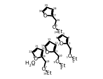 CCOCc1ccco1.CCOCc1ccco1.CCOCc1ccco1.CCOCc1ccco1.O